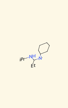 CCC([N]C1CCCCC1)NC(C)C